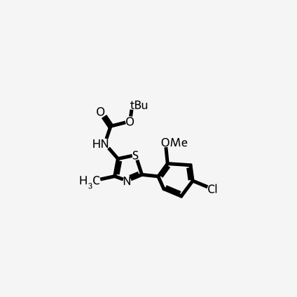 COc1cc(Cl)ccc1-c1nc(C)c(NC(=O)OC(C)(C)C)s1